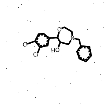 OC1CN(Cc2ccccc2)CCOC1c1ccc(Cl)c(Cl)c1